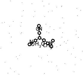 CC1(C)c2cc(-c3cc(-c4ccc(-c5nc6ccccc6o5)cc4)cc(-c4ccc(-c5nc6ccccc6o5)cc4)c3)ccc2-c2cc3c(cc21)c1ccccc1n3-c1ccccc1